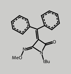 CO/N=C1/C(=C(c2ccccc2)c2ccccc2)C(=O)N1C(C)(C)C